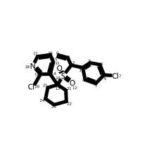 C=CC(c1ccc(Cl)cc1)S(=O)(=O)C1(c2cccnc2Cl)CCCCC1